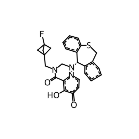 O=C1c2c(O)c(=O)ccn2N([C@H]2c3ccccc3CSc3ccccc32)CN1CC12CC(F)(C1)C2